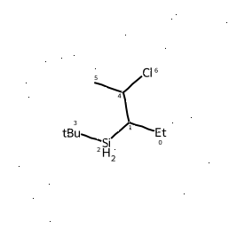 CCC([SiH2]C(C)(C)C)C(C)Cl